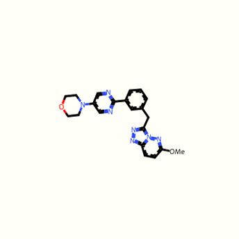 COc1ccc2nnc(Cc3cccc(-c4ncc(N5CCOCC5)cn4)c3)n2n1